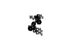 CC(C)OC(=O)c1cccnc1N1CCN(Cc2ccccc2S(=O)(=O)N(C)C)CC1